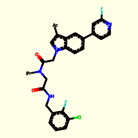 CC(=O)c1cn(CC(=O)N(CC(=O)NCc2cccc(Cl)c2F)C(C)C)c2ccc(-c3ccnc(F)c3)cc12